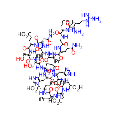 CC[C@H](C)[C@H](NC(=O)[C@@H](NC(=O)[C@H](CCC(N)=O)NC(=O)CNC(=O)[C@H](CC(=O)O)NC(=O)[C@@H](N)CCCNC(=N)N)C(C)C)C(=O)N[C@@H](CC(N)=O)C(=O)N[C@@H](CCC(=O)O)C(=O)N[C@H](C(=O)N[C@@H](CO)C(=O)N[C@@H](CCC(N)=O)C(=O)N[C@@H](Cc1c[nH]cn1)C(=O)N[C@@H](Cc1c[nH]cn1)C(=O)N[C@@H](CC(=O)O)C(=O)N[C@@H](CC(=O)O)C(=O)N[C@@H](CC(C)C)C(=O)N[C@@H](CCC(=O)O)C(=O)O)[C@@H](C)O